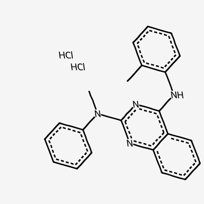 Cc1ccccc1Nc1nc(N(C)c2ccccc2)nc2ccccc12.Cl.Cl